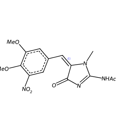 COc1cc(/C=C2\C(=O)N=C(NC(C)=O)N2C)cc([N+](=O)[O-])c1OC